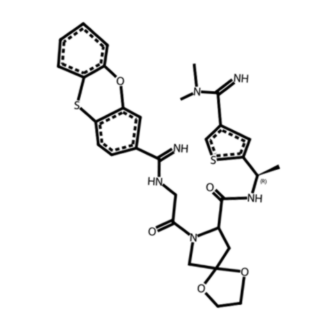 C[C@@H](NC(=O)C1CC2(CN1C(=O)CNC(=N)c1ccc3c(c1)Oc1ccccc1S3)OCCO2)c1cc(C(=N)N(C)C)cs1